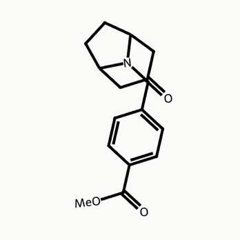 COC(=O)c1ccc(CN2C3CCC2CC(=O)C3)cc1